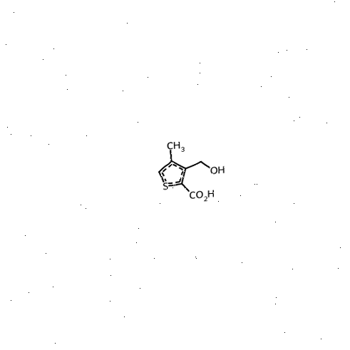 Cc1csc(C(=O)O)c1CO